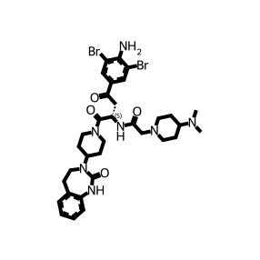 CN(C)C1CCN(CC(=O)N[C@@H](CC(=O)c2cc(Br)c(N)c(Br)c2)C(=O)N2CCC(N3CCc4ccccc4NC3=O)CC2)CC1